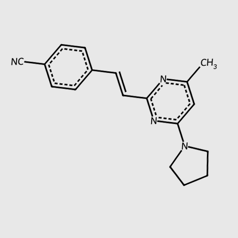 Cc1cc(N2CCCC2)nc(C=Cc2ccc(C#N)cc2)n1